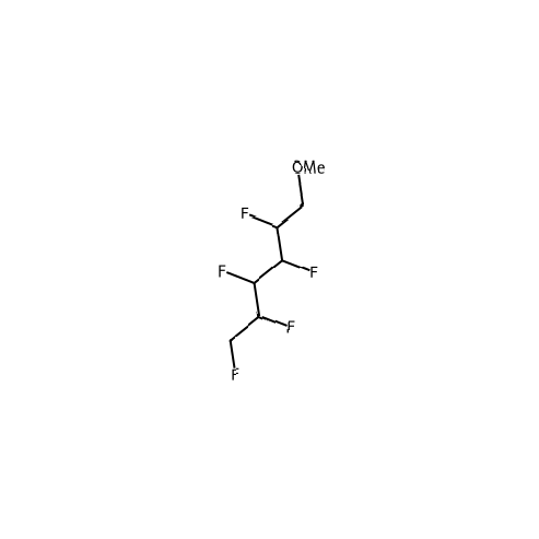 COCC(F)C(F)C(F)C(F)CF